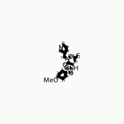 COc1ccc(S(=O)(=O)N[C@@H](CCF)C(=O)N(O)Cc2cccnc2)cc1